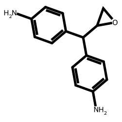 Nc1ccc(C(c2ccc(N)cc2)C2CO2)cc1